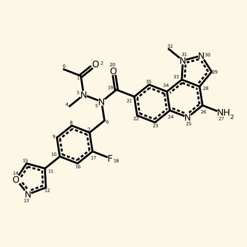 CC(=O)N(C)N(Cc1ccc(-c2cnoc2)cc1F)C(=O)c1ccc2nc(N)c3cnn(C)c3c2c1